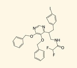 O=C(NCC(Cc1ccc(I)cc1)c1ncnc(OCc2ccccc2)c1OCc1ccccc1)C(F)F